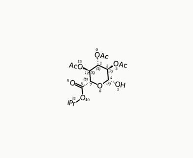 CC(=O)O[C@@H]1[C@@H](OC(C)=O)[C@H](O)O[C@H](C(=O)OC(C)C)[C@H]1OC(C)=O